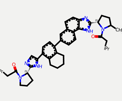 CC(C)CC(=O)N1CCC[C@H]1c1ncc(-c2ccc(-c3ccc4c(ccc5nc([C@@H]6CCC(C)N6C(=O)CC(C)C)[nH]c54)c3)c3c2CCCC3)[nH]1